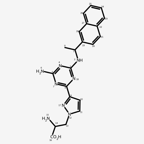 CC(Nc1nc(N)nc(-c2ccn(CC(N)C(=O)O)n2)n1)c1ccc2ccccc2c1